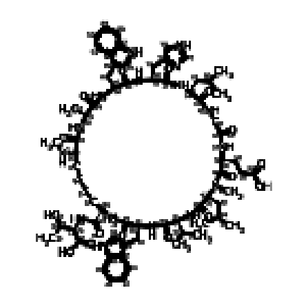 CN[C@H]1CSSC[C@@H](C(=O)N[C@H](C(=O)O)[C@@H](C)O)NC(=O)[C@H](Cc2c[nH]c3ccccc23)NC(=O)[C@H](C(C)C)NC(=O)[C@H](CC(C)C)N(C)C(=O)[C@H](CCC(=O)O)NC(=O)CNC(=O)[C@H](CC(C)C)NC(=O)[C@H](Cc2c[nH]cn2)NC(=O)[C@H](Cc2c[nH]c3ccccc23)NC(=O)[C@H](C)NC1=O